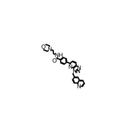 O=C(NCCN1CCOCC1)c1ccc(-c2ccc3nnn(Cc4ccc5ncccc5c4)c3n2)cc1